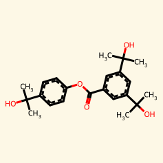 CC(C)(O)c1ccc(OC(=O)c2cc(C(C)(C)O)cc(C(C)(C)O)c2)cc1